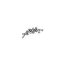 COc1cc(-c2nccc(-c3cccc(-c4ccc(CNCCCF)c(OC)n4)c3C(F)(F)F)c2Cl)ccc1CNCCCF